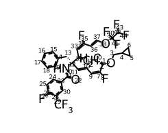 C=C(OCC1CC1)/C(F)=C\C=C\[C@@](Cc1ccccc1)(NC(=O)c1ccc(F)c(C(F)(F)F)c1)C(=C)/C=C(F)\C=C\OC(F)(F)C(F)F